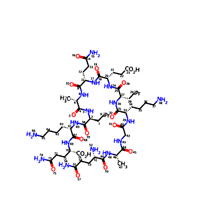 CC(C)C[C@H](NC(=O)[C@H](C)NC(=O)[C@H](CCC(N)=O)NC(=O)[C@H](CCC(=O)O)NC(=O)[C@H](CC(C)C)NC(=O)[C@H](CCCCN)NC(=O)CNC(=O)[C@H](C)NC(=O)[C@@H](N)CCC(N)=O)C(=O)N[C@@H](CCCCN)C(=O)N[C@@H](CCC(N)=O)C(=O)O